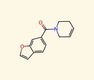 O=C(c1ccc2ccoc2c1)N1CC=CCC1